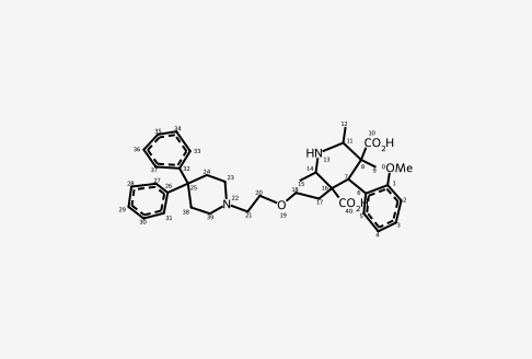 COc1ccccc1C1C(C)(C(=O)O)C(C)NC(C)C1(CCOCCN1CCC(c2ccccc2)(c2ccccc2)CC1)C(=O)O